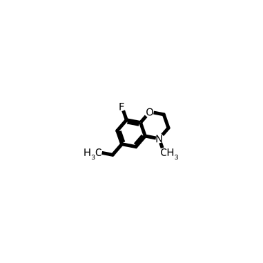 CCc1cc(F)c2c(c1)N(C)CCO2